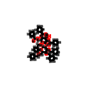 O=C(OC[C@H]1O[C@@H](O[C@@H]2[C@@H](OCc3ccccc3)O[C@H](COCc3ccccc3)[C@@H](OCc3ccccc3)[C@@H]2OCc2ccccc2)[C@@H](OC(=O)c2ccccc2)[C@@H](O)[C@@H]1OC(=O)c1ccccc1)c1ccccc1